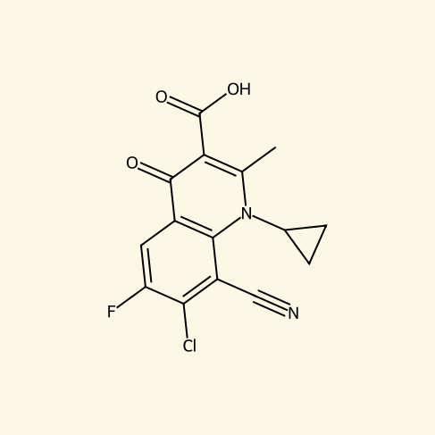 Cc1c(C(=O)O)c(=O)c2cc(F)c(Cl)c(C#N)c2n1C1CC1